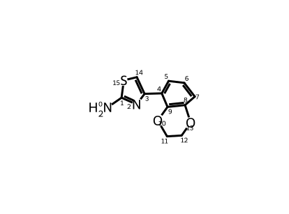 Nc1nc(-c2cccc3c2OCCO3)cs1